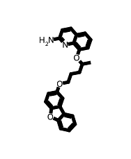 CC(CCCOc1ccc2oc3ccccc3c2c1)Oc1cccc2ccc(N)nc12